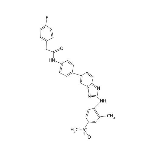 Cc1cc([S@@+](C)[O-])ccc1Nc1nc2ccc(-c3ccc(NC(=O)Cc4ccc(F)cc4)cc3)cn2n1